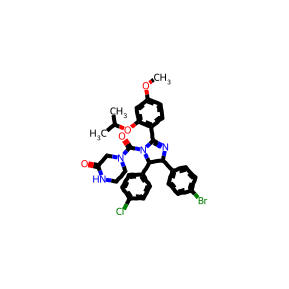 COc1ccc(C2=NC(c3ccc(Br)cc3)C(c3ccc(Cl)cc3)N2C(=O)N2CCNC(=O)C2)c(OC(C)C)c1